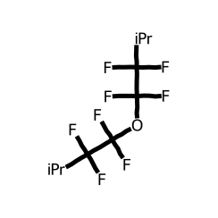 CC(C)C(F)(F)C(F)(F)OC(F)(F)C(F)(F)C(C)C